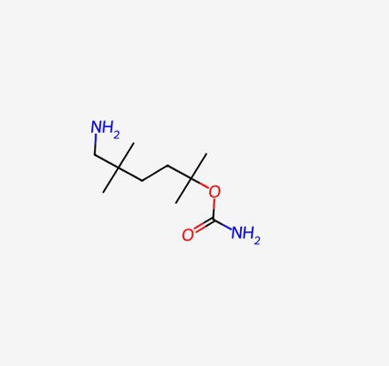 CC(C)(CN)CCC(C)(C)OC(N)=O